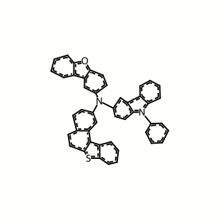 c1ccc(-n2c3ccccc3c3cc(N(c4ccc5oc6ccccc6c5c4)c4ccc5ccc6sc7ccccc7c6c5c4)ccc32)cc1